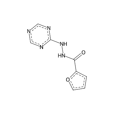 O=C(NNc1ncncn1)c1ccco1